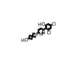 Oc1cc(Cl)cc(Cl)c1-c1ccc(N2CC3(CC(O)C3)C2)nn1